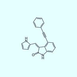 O=C1Nc2cccc(C#Cc3ccccc3)c2C1=Cc1ccc[nH]1